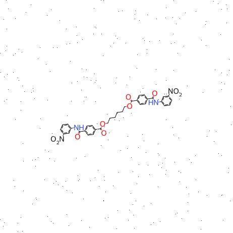 O=C(Nc1cccc([N+](=O)[O-])c1)c1ccc(C(=O)OCCCCCCOC(=O)c2ccc(C(=O)Nc3cccc([N+](=O)[O-])c3)cc2)cc1